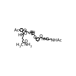 CC(=O)NCCOCCNC(=O)c1cccc(OCc2cn(CCCOc3ccc(C(C)=O)cc3C(=O)NCCCC[C@H](C)C(N)=O)nn2)c1